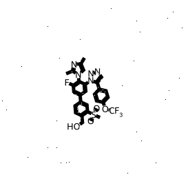 Cc1cn(-c2c(F)cc(-c3ccc(CO)c(S(C)(=O)=O)c3)cc2-n2nncc2-c2ccc(OC(F)(F)F)cc2)c(C)n1